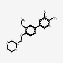 COc1cc(-c2cnc(N)c(Br)c2)ccc1OC[C@@H]1COCCO1